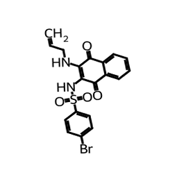 C=CCNC1=C(NS(=O)(=O)c2ccc(Br)cc2)C(=O)c2ccccc2C1=O